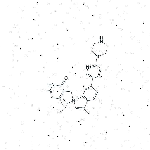 CCC(C)[N+]1(Cc2c(C)cc(C)[nH]c2=O)C=C(C)c2ccc(-c3ccc(N4CCNCC4)nc3)cc21